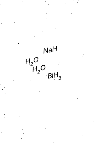 O.O.[BiH3].[NaH]